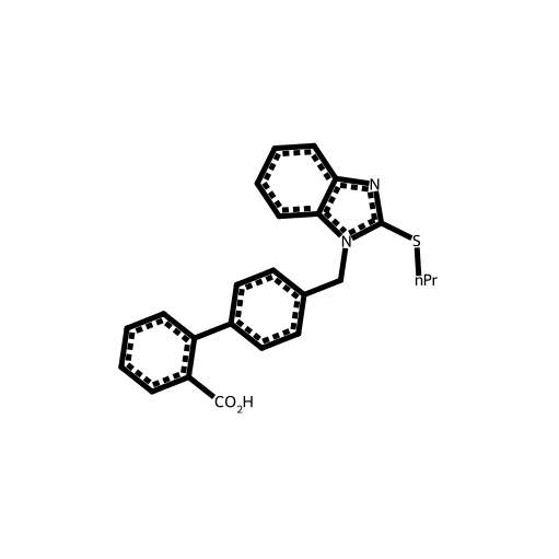 CCCSc1nc2ccccc2n1Cc1ccc(-c2ccccc2C(=O)O)cc1